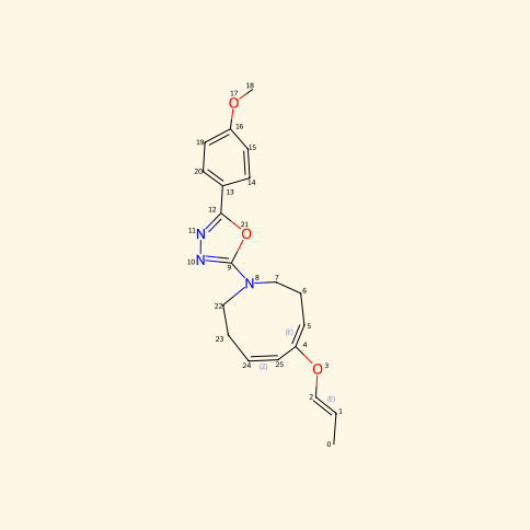 C/C=C/OC1=C/CCN(c2nnc(-c3ccc(OC)cc3)o2)CC/C=C\1